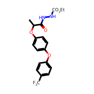 CCOC(=O)NNC(=O)C(C)Oc1ccc(Oc2ccc(C(F)(F)F)cc2)cc1